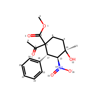 COC(=O)C1(C(C)=O)CC[C@@](C)(O)[C@@H]([N+](=O)[O-])[C@@H]1c1ccccc1